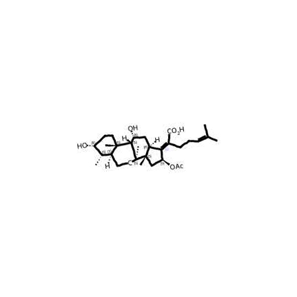 CC(=O)O[C@H]1C[C@@]2(C)[C@@H](C[C@@H](O)[C@H]3[C@@]4(C)CC[C@@H](O)[C@@H](C)[C@@H]4CC[C@@]32C)/C1=C(/CCC=C(C)C)C(=O)O